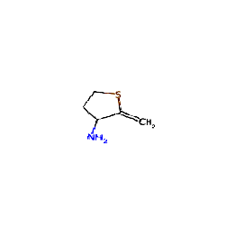 C=C1SCCC1N